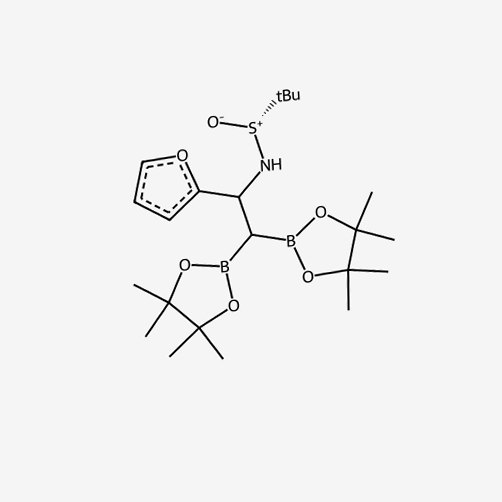 CC(C)(C)[S@@+]([O-])NC(c1ccco1)C(B1OC(C)(C)C(C)(C)O1)B1OC(C)(C)C(C)(C)O1